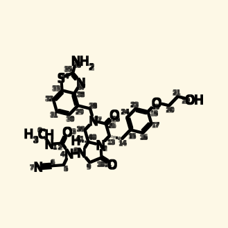 CNC(=O)N(CC#N)N1CC(=O)N2[C@@H](Cc3ccc(OCCO)cc3)C(=O)N(Cc3cccc4sc(N)nc34)C[C@@H]21